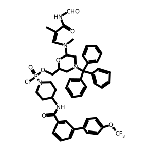 C/C(=C/N(C)C1CN(C(c2ccccc2)(c2ccccc2)c2ccccc2)CC(COP(=O)(Cl)N2CCC(NC(=O)c3cccc(-c4ccc(OC(F)(F)F)cc4)c3)CC2)O1)C(=O)NC=O